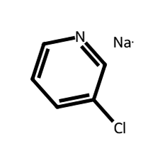 Clc1cccnc1.[Na]